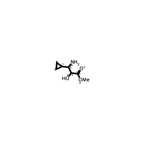 COC(=O)C(O)C(N)C1CC1